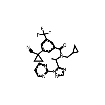 CC(c1ncnn1-c1ncccn1)N(CC1CC1)C(=O)c1cc(C(F)(F)F)cc(C2(C#N)CC2)c1